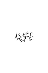 Oc1ccccc1-c1nc2[c]([Zn])cccc2o1